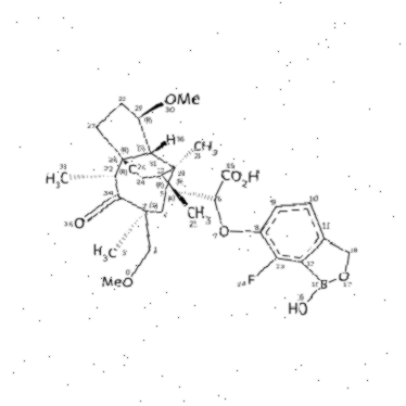 COC[C@]1(C)C[C@@H](C(Oc2ccc3c(c2F)B(O)OC3)C(=O)O)[C@@]2(C)[C@H](C)CC[C@]3(CC[C@@H](OC)[C@@H]32)[C@@H](C)C1=O